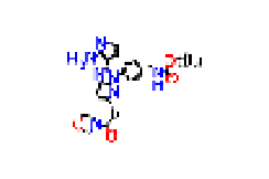 CC(C)(C)OC(=O)NCc1ccc(-n2c(-c3cccnc3N)nc3ccc(C4CC4C(=O)N4CCOCC4)nc32)cc1